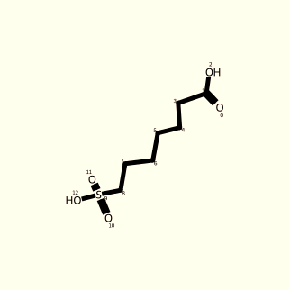 O=C(O)CCCCCCS(=O)(=O)O